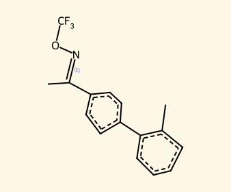 C/C(=N\OC(F)(F)F)c1ccc(-c2ccccc2C)cc1